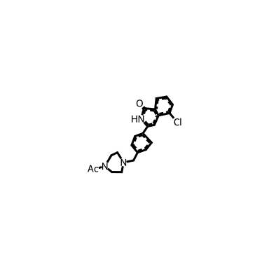 CC(=O)N1CCN(Cc2ccc(-c3cc4c(Cl)cccc4c(=O)[nH]3)cc2)CC1